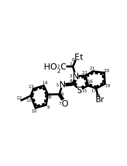 CCC(C(=O)O)n1c(=NC(=O)c2ccc(C)cc2)sc2c(Br)cccc21